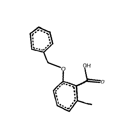 Cc1cccc(OCc2ccccc2)c1C(=O)O